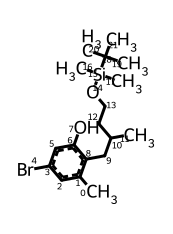 Cc1cc(Br)cc(O)c1CC(C)CCO[Si](C)(C)C(C)(C)C